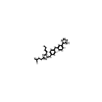 CCC=Cc1nc(CCC(C)C)nn1Cc1ccc(Cc2cccc(-c3nnn[nH]3)c2)cc1